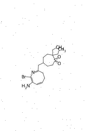 CCC1(CC)CCC(C/C2=N/C(Br)=C(/N)C=CCC2)CCS1(=O)=O